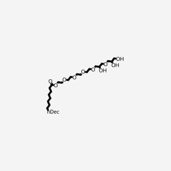 CCCCCCCCCCCCCCCCCC(=O)OCCOCCOCCOCCOCC(O)COCC(O)CO